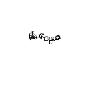 O=C(OCc1ccccc1)N1CCC(N2CCC[C@@H](COCC3(C(F)(F)F)CC3)C2)CC1